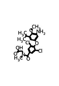 COc1c(N)cc(Oc2c(Cl)cc(C(=O)N(C)CC(=O)O)cc2Cl)cc1C(C)C